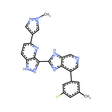 Cc1cc(F)cc(-c2cncc3[nH]c(-c4n[nH]c5ccc(-c6cnn(C)c6)nc45)nc23)c1